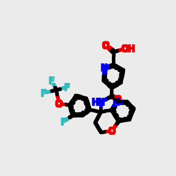 O=C(NC1(c2ccc(OC(F)(F)F)c(F)c2)CCOc2cccnc21)c1ccc(C(=O)O)nc1